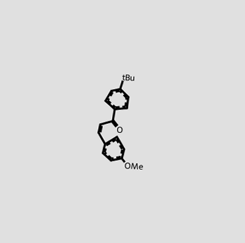 COc1ccc(/C=C\C(=O)c2ccc(C(C)(C)C)cc2)cc1